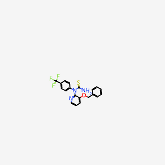 NC(=S)N(c1ccc(C(F)(F)F)cc1)c1ncccc1OCc1ccccc1